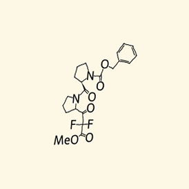 COC(=O)C(F)(F)C(=O)C1CCCN1C(=O)[C@H]1CCCN1C(=O)OCc1ccccc1